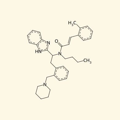 CCCCN(C(=O)C=Cc1ccccc1C)C(Cc1ccccc1CN1CCCCC1)c1nc2ccccc2[nH]1